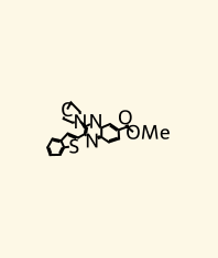 COC(=O)c1ccc2nc(-c3cc4ccccc4s3)c(N3CCCCC3)nc2c1